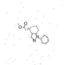 COC(=O)C[C@@H]1CCCc2c1cnn2-c1ccccc1